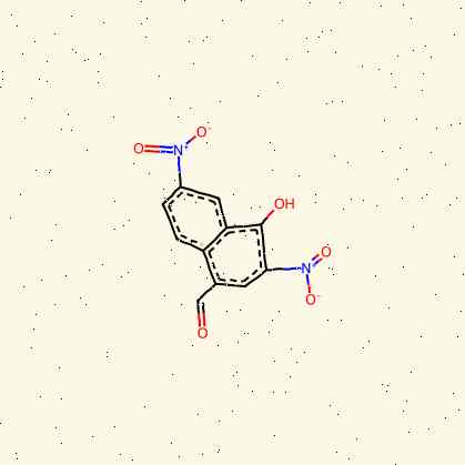 O=Cc1cc([N+](=O)[O-])c(O)c2cc([N+](=O)[O-])ccc12